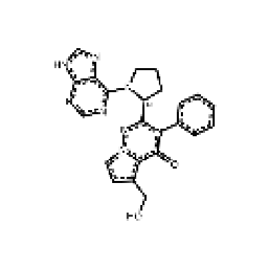 O=c1c2c(CO)ccn2nc([C@@H]2CCCN2c2ncnc3[nH]cnc23)n1-c1ccccc1